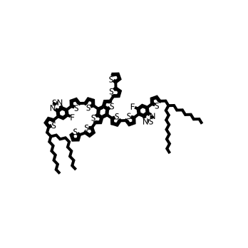 CCCCCCCCCCC(CCCCCCCC)Cc1ccc(-c2cc(F)c(-c3ccc(-c4ccc(-c5c6cc(-c7ccc(-c8cccs8)s7)sc6c(-c6ccc(-c7ccc(-c8c(F)cc(-c9ccc(CC(CCCCCCCC)CCCCCCCCCC)s9)c9nsnc89)s7)s6)c6cc(-c7ccc(-c8cccs8)s7)sc56)s4)s3)c3nsnc23)s1